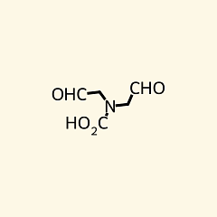 O=CCN(CC=O)C(=O)O